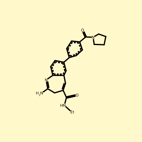 CCNC(=O)C1=Cc2cc(-c3ccc(C(=O)N4CCCC4)cc3)ccc2N=C(N)C1